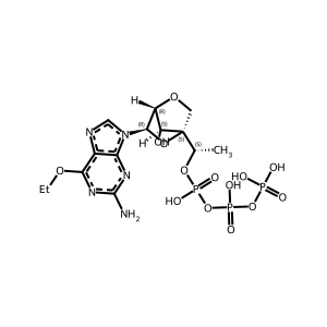 CCOc1nc(N)nc2c1ncn2[C@@H]1O[C@@]2([C@H](C)OP(=O)(O)OP(=O)(O)OP(=O)(O)O)CO[C@@H]1[C@@H]2O